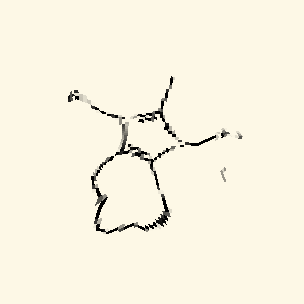 CCCCn1c2c([n+](CCCC)c1C)CCCC2.[I-]